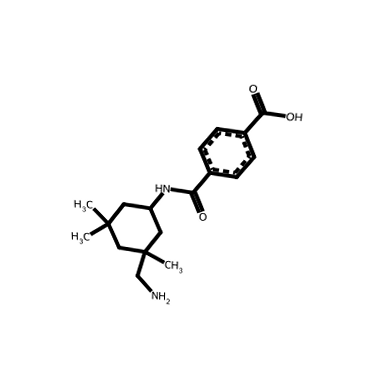 CC1(C)CC(NC(=O)c2ccc(C(=O)O)cc2)CC(C)(CN)C1